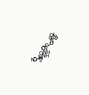 CC(=O)N1CCCC1C(=O)N1CCC(COc2cccc(NC(=O)Nc3csc(-c4ccncc4)n3)n2)C1